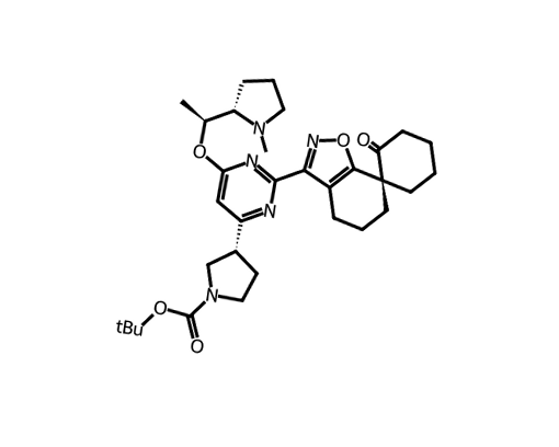 C[C@H](Oc1cc([C@@H]2CCN(C(=O)OC(C)(C)C)C2)nc(-c2noc3c2CCC[C@@]32CCCCC2=O)n1)[C@@H]1CCCN1C